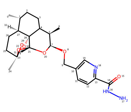 C[C@@H]1CCC2[C@@H](C)[C@@H](OCc3ccc(C(=O)NN)nc3)O[C@@H]3O[C@]4(C)CC[C@@H]1[C@@]23OO4